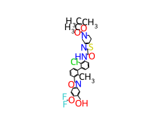 Cc1c(-c2nc3cc(CO)c(OC(F)F)cc3o2)cccc1-c1cccc(NC(=O)c2nc3c(s2)CCN(C(=O)OC(C)(C)C)C3)c1Cl